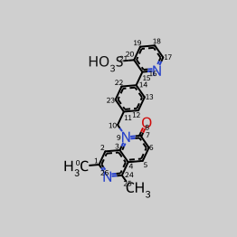 Cc1cc2c(ccc(=O)n2Cc2ccc(-c3ncccc3S(=O)(=O)O)cc2)c(C)n1